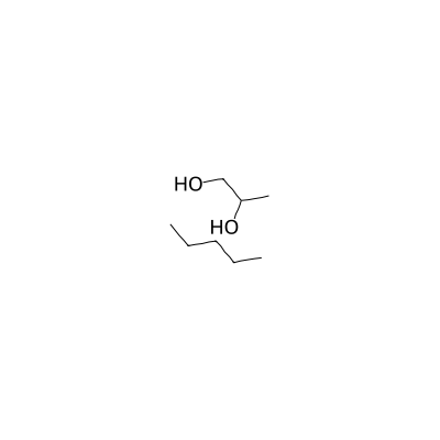 CC(O)CO.CCCCC